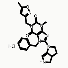 Cc1cc(Cn2c(=O)c3c(nc(N4CCC5CNC=C54)n3Cc3ccccc3)n(C)c2=O)no1.Cl